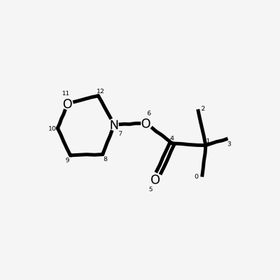 CC(C)(C)C(=O)ON1CCCOC1